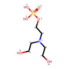 O=P(O)(O)OCCN(CCO)CCO